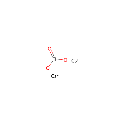 [Cs+].[Cs+].[O]=[Ti]([O-])[O-]